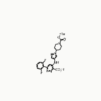 CC(C)(C)OC(=O)N1CCC(n2cc(Nc3cc(-c4c(F)cccc4F)nnc3C(=O)O)cn2)CC1